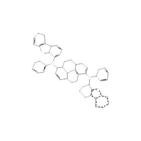 C1=CCCC(N(C2=CC=CC3C4=C(C=CCC4)SC23)C2C=CC3CCC4=C5C(CC=C4N(C4C=CC=CC4)C4CCCc6c4sc4ccccc64)CCC2C53)=C1